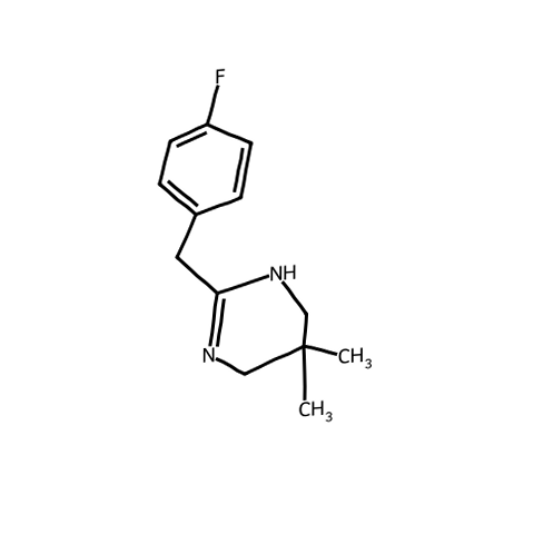 CC1(C)CN=C(Cc2ccc(F)cc2)NC1